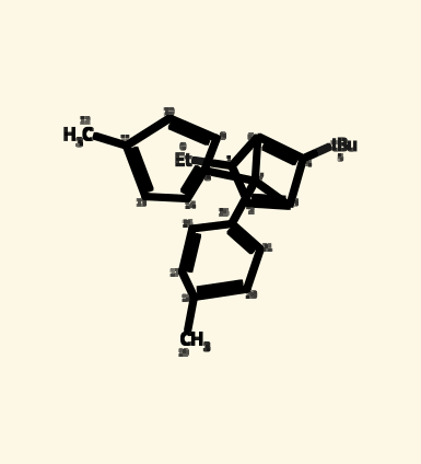 CCC1[C]=C2C(C(C)(C)C)=C1C2(c1ccc(C)cc1)c1ccc(C)cc1